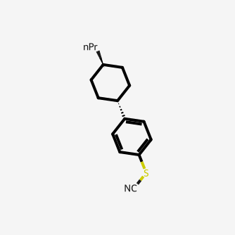 CCC[C@H]1CC[C@H](c2ccc(SC#N)cc2)CC1